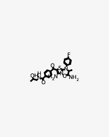 CC(O)CNC(=O)c1ccc(C(=O)c2sc(N(c3ccc(F)cc3)C(C)C(N)=O)nc2N)cc1